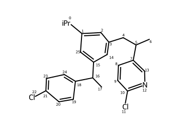 CC(C)c1cc(CC(C)c2ccc(Cl)nc2)cc(C(C)c2ccc(Cl)cc2)c1